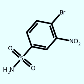 NS(=O)(=O)c1ccc(Br)c([N+](=O)[O-])c1